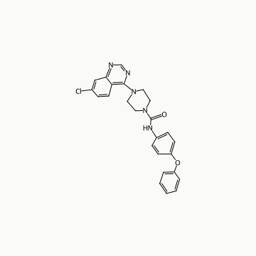 O=C(Nc1ccc(Oc2ccccc2)cc1)N1CCN(c2ncnc3cc(Cl)ccc23)CC1